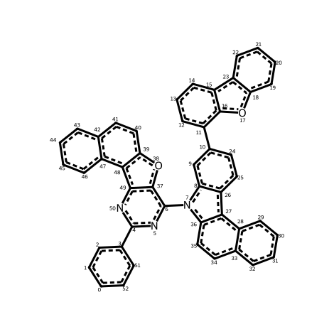 c1ccc(-c2nc(-n3c4cc(-c5cccc6c5oc5ccccc56)ccc4c4c5ccccc5ccc43)c3oc4ccc5ccccc5c4c3n2)cc1